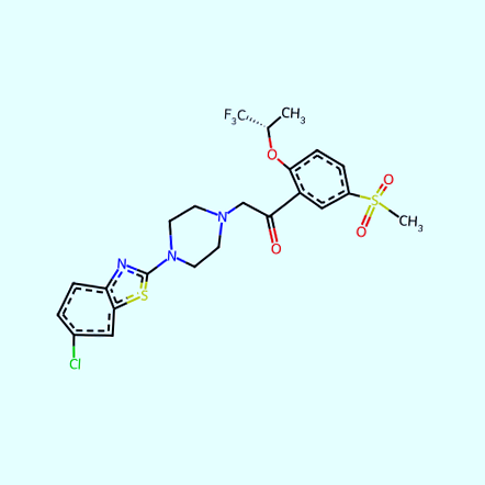 C[C@H](Oc1ccc(S(C)(=O)=O)cc1C(=O)CN1CCN(c2nc3ccc(Cl)cc3s2)CC1)C(F)(F)F